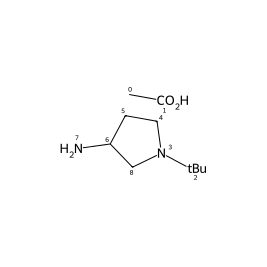 CC(=O)O.CC(C)(C)N1CCC(N)C1